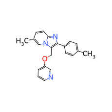 Cc1ccc(-c2nc3ccc(C)cn3c2COc2cccnc2)cc1